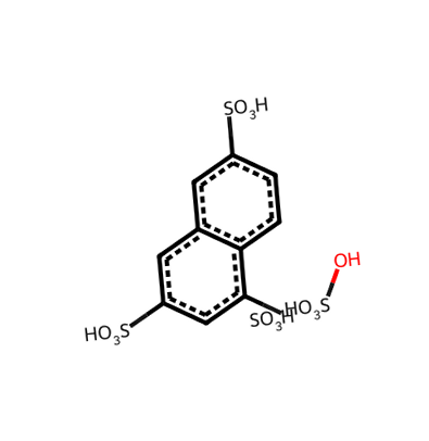 O=S(=O)(O)O.O=S(=O)(O)c1ccc2c(S(=O)(=O)O)cc(S(=O)(=O)O)cc2c1